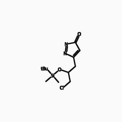 CC(C)(C)[Si](C)(C)OC(CCl)CC1=CC(=O)N=N1